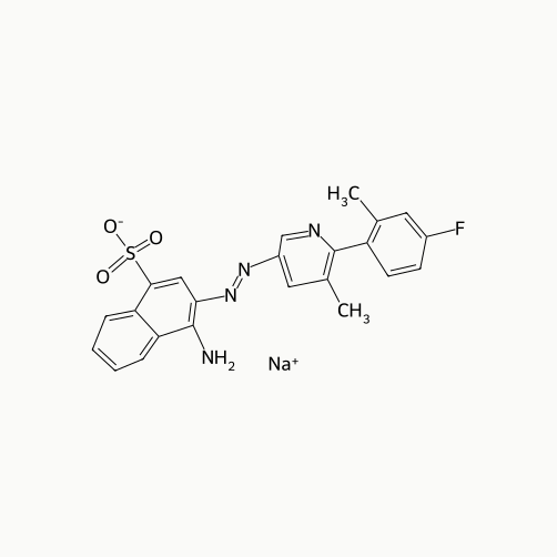 Cc1cc(F)ccc1-c1ncc(N=Nc2cc(S(=O)(=O)[O-])c3ccccc3c2N)cc1C.[Na+]